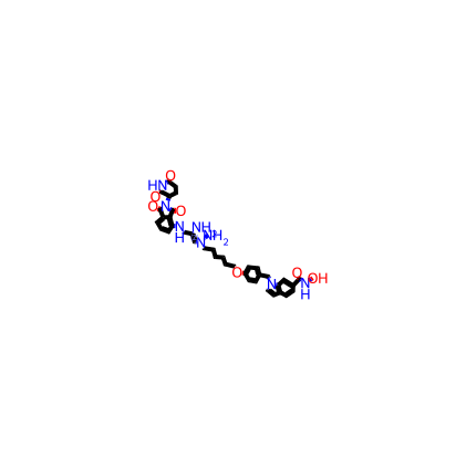 N/C(=C\N(N)CCCCCCOc1ccc(Cn2ccc3ccc(C(=O)NO)cc32)cc1)CNc1cccc2c1C(=O)N(C1CCC(=O)NC1=O)C2=O